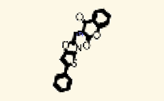 O=C1Oc2ccccc2C(=O)/C1=C/c1nc2sc(-c3ccccc3)cc2o1